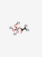 CCO[Si](OCC)(OCC)SC(=S)C(CC)CC